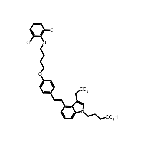 O=C(O)CCCn1cc(CC(=O)O)c2c(C=Cc3ccc(OCCCCOc4c(Cl)cccc4Cl)cc3)cccc21